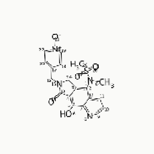 CN(c1c2c(c(O)c3ncccc13)C(=O)N(Cc1cc[n+]([O-])cc1)C2)S(C)(=O)=O